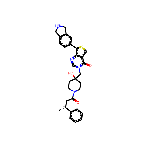 C[C@H](CC(=O)N1CCC(O)(Cn2cnc3c(-c4ccc5c(c4)CNC5)scc3c2=O)CC1)c1ccccc1